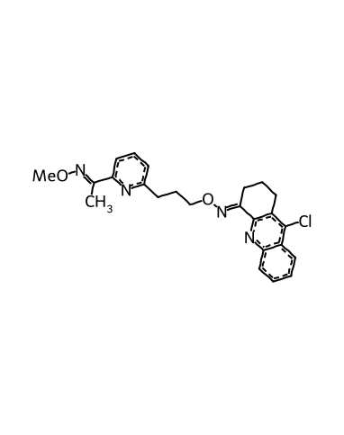 CO/N=C(\C)c1cccc(CCCO/N=C2\CCCc3c2nc2ccccc2c3Cl)n1